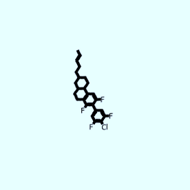 CC=CCCC1CCC2c3cc(F)c(-c4cc(F)c(Cl)c(F)c4)c(F)c3CCC2C1